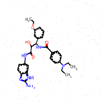 CCOc1cccc(C(NC(=O)c2ccc(N(CC)CC)cc2)C(O)C(=O)Nc2ccc3nc(N)[nH]c3c2)c1